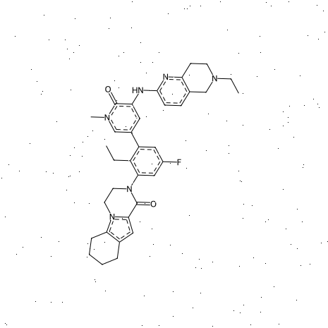 CCc1c(-c2cc(Nc3ccc4c(n3)CCN(CC)C4)c(=O)n(C)c2)cc(F)cc1N1CCn2c(cc3c2CCCC3)C1=O